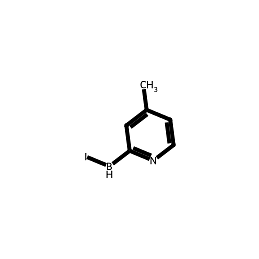 Cc1ccnc(BI)c1